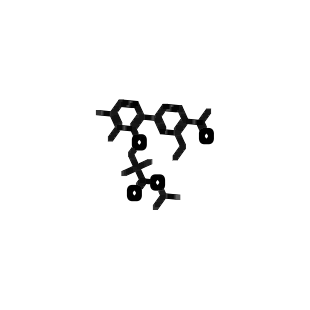 CCc1cc(-c2ccc(C)c(C)c2OCC(C)(C)C(=O)OC(C)C)ccc1C(C)=O